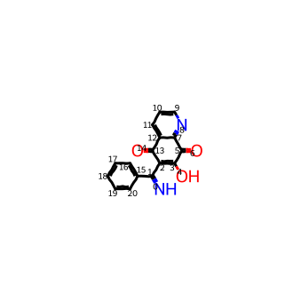 N=C(C1=C(O)C(=O)c2ncccc2C1=O)c1ccccc1